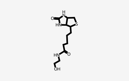 O=C(CCCCC1SCC2NC(=O)NC21)NCCO